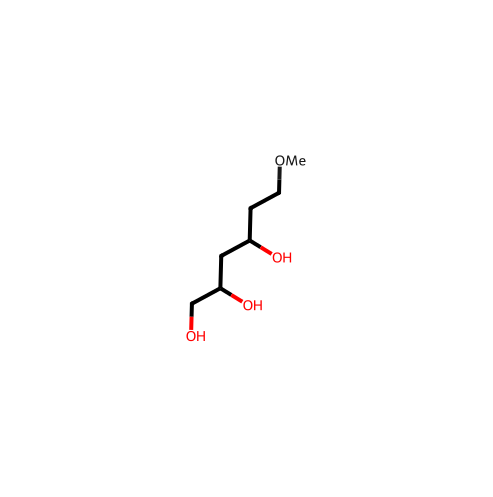 COCCC(O)CC(O)CO